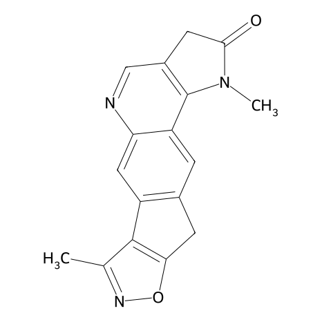 Cc1noc2c1-c1cc3ncc4c(c3cc1C2)N(C)C(=O)C4